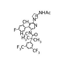 CC(=O)N[C@@H]1CCN(c2cc(-c3ccc(F)cc3C)c(N(C)C(=O)C(C)(C)c3cc(C(F)(F)F)cc(C(F)(F)F)c3)cn2)C1